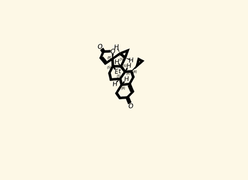 CC[C@]12CC[C@H]3[C@H]([C@@H]1[C@@H]1C[C@@H]1[C@@]21C=CC(=O)O1)[C@@H](C1CC1)CC1=CC(=O)CC[C@@H]13